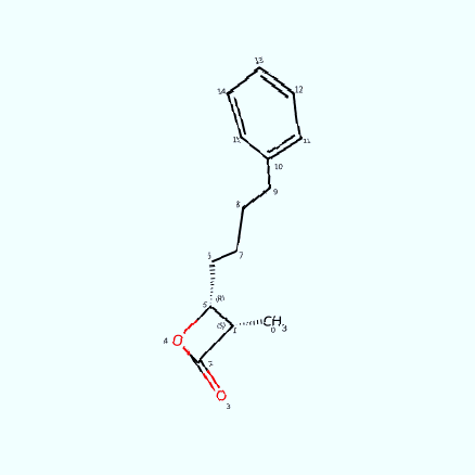 C[C@@H]1C(=O)O[C@@H]1CCCCc1ccccc1